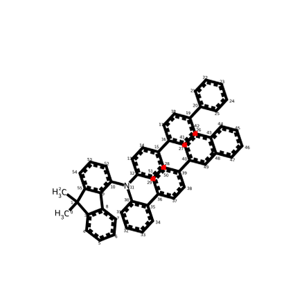 CC1(C)c2ccccc2-c2c(N(c3ccc(-c4ccc(-c5ccccc5)cc4)cc3)c3ccccc3-c3ccc(-c4ccc5ccccc5c4)cc3)cccc21